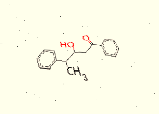 CC(c1ccccc1)C(O)CC(=O)c1ccccc1